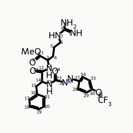 COC(=O)C(CCCNC(=N)N)NC(=O)C(Cc1ccccc1)NC(=O)/N=N/c1ccc(OC(F)(F)F)cc1